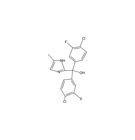 Cc1cnc(C(O)(c2ccc(Cl)c(F)c2)c2ccc(Cl)c(F)c2)[nH]1